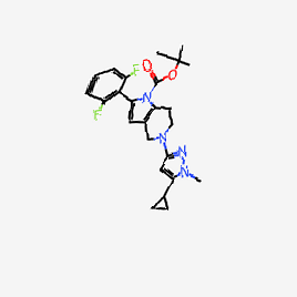 Cn1nc(N2CCc3c(cc(-c4c(F)cccc4F)n3C(=O)OC(C)(C)C)C2)cc1C1CC1